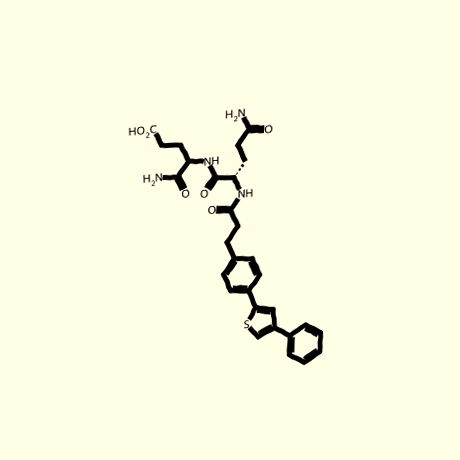 NC(=O)CC[C@H](NC(=O)CCc1ccc(-c2cc(-c3ccccc3)cs2)cc1)C(=O)NC(CCC(=O)O)C(N)=O